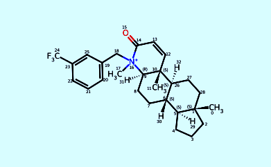 C[C@@]12CCC[C@H]1[C@@H]1CC[C@@H]3[C@](C)(C=CC(=O)[N+]3(C)Cc3cccc(C(F)(F)F)c3)[C@H]1CC2